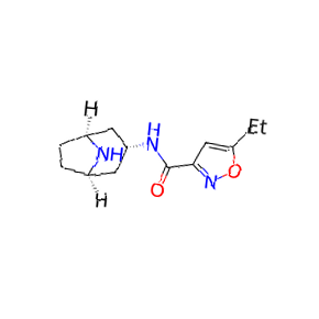 CCc1cc(C(=O)N[C@@H]2C[C@H]3CC[C@@H](C2)N3)no1